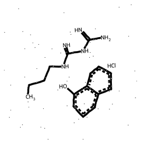 CCCCNC(=N)NC(=N)N.Cl.Oc1cccc2ccccc12